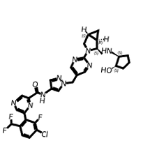 O=C(Nc1cnn(Cc2cnc(N3C[C@H]4C[C@H]4[C@H]3CN[C@H]3CCC[C@@H]3O)nc2)c1)c1cncc(-c2c(C(F)F)ccc(Cl)c2F)n1